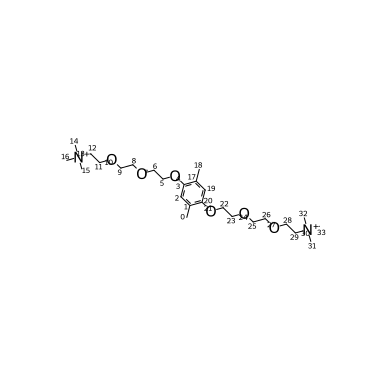 Cc1cc(OCCOCCOCC[N+](C)(C)C)c(C)cc1OCCOCCOCC[N+](C)(C)C